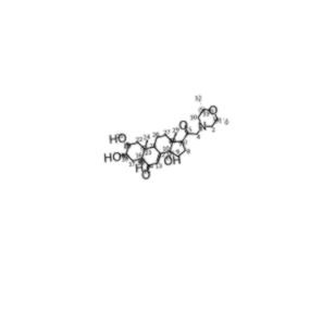 C[C@@H]1CN(CC(=O)[C@H]2CC[C@@]3(O)C4=CC(=O)[C@@H]5C[C@@H](O)[C@@H](O)C[C@]5(C)C4CC[C@]23C)C[C@H](C)O1